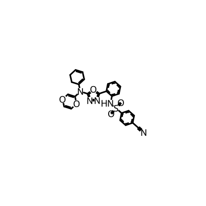 N#Cc1ccc(S(=O)(=O)Nc2ccccc2-c2nnc(N(C3=CC=CCC3)C3=COC=CO3)o2)cc1